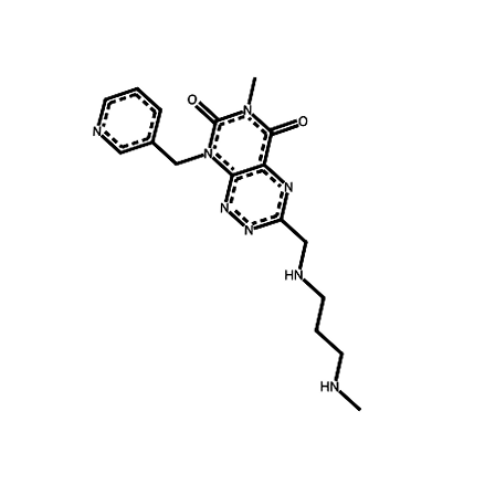 CNCCCNCc1nnc2c(n1)c(=O)n(C)c(=O)n2Cc1cccnc1